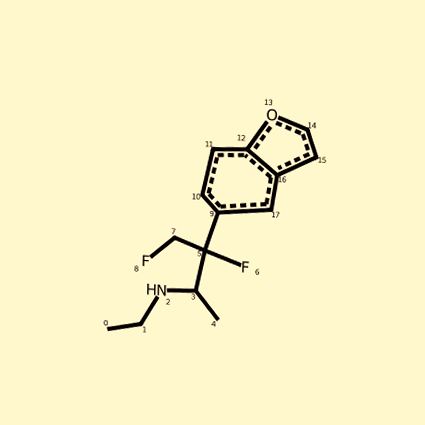 CCNC(C)C(F)(CF)c1ccc2occc2c1